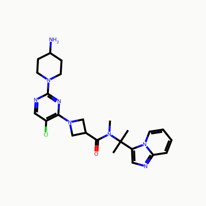 CN(C(=O)C1CN(c2nc(N3CCC(N)CC3)ncc2Cl)C1)C(C)(C)c1cnc2ccccn12